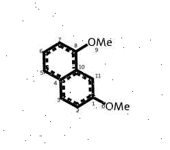 COc1ccc2[c]ccc(OC)c2c1